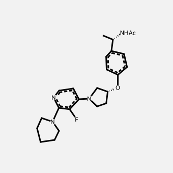 CC(=O)N[C@@H](C)c1ccc(O[C@@H]2CCN(c3ccnc(N4CCCCC4)c3F)C2)cc1